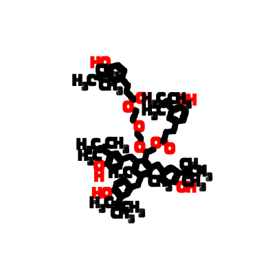 Cc1c(Cc2ccc(O)c(C(C)(C)C)c2)c(C)c(Cc2ccc(O)c(C(C)(C)C)c2)c(C(COC(=O)CCc2ccc(O)c(C(C)(C)C)c2)OCCOCCOC(=O)CCc2ccc(O)c(C(C)(C)C)c2)c1Cc1ccc(O)c(C(C)(C)C)c1